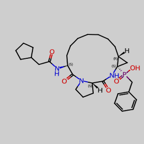 O=C(CC1CCCC1)N[C@H]1CCCCCCC[C@@H]2C[C@@]2(P(=O)(O)Cc2ccccc2)NC(=O)[C@@H]2CCCN2C1=O